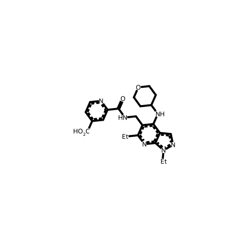 CCc1nc2c(cnn2CC)c(NC2CCOCC2)c1CNC(=O)c1cc(C(=O)O)ccn1